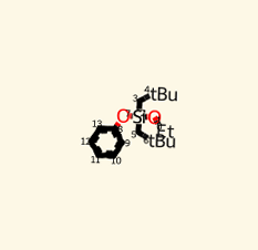 CCO[Si](CC(C)(C)C)(CC(C)(C)C)Oc1ccccc1